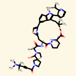 CCn1c(-c2cccnc2[C@H](C)OC)c2c3cc(ccc31)-c1csc(n1)C[C@H](NC(=O)[C@H](C(C)C)N1CC[C@@]3(CCN(C(=O)C#CC(C)(C)N(C)C)C3)C1O)C(=O)N1CCC[C@H](N1)C(=O)OCC(C)(C)C2